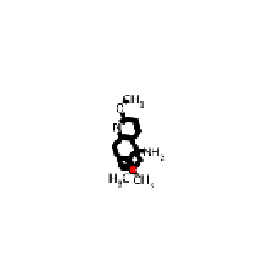 C/C=C1\C2C=C(C)CC1(N)c1ccc(OC)nc1C2